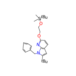 CC(C)(C)c1cc2ccc(OCCO[Si](C)(C)C(C)(C)C)nc2n1Cc1ccccc1